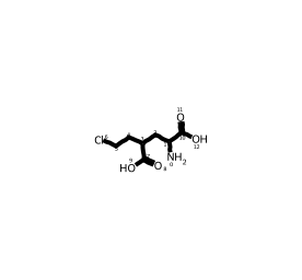 NC(CC(CCCl)C(=O)O)C(=O)O